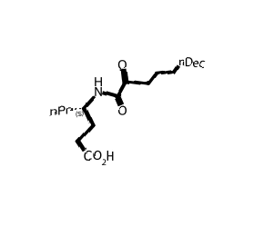 CCCCCCCCCCCCCC(=O)C(=O)N[C@@H](CCC)CCC(=O)O